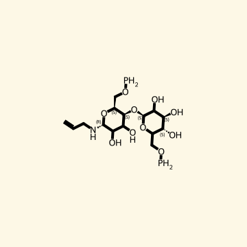 C=CCN[C@@H]1O[C@@H](COP)[C@@H](O[C@@H]2OC(COP)[C@@H](O)[C@H](O)C2O)C(O)C1O